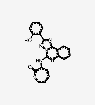 O=c1nccccc1Nc1nc2ccccc2c2nc(-c3ccccc3O)nn12